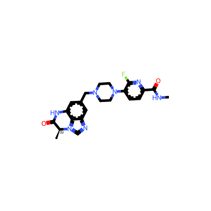 CNC(=O)c1ccc(N2CCN(Cc3cc4c5c(c3)ncn5[C@@H](C)C(=O)N4)CC2)c(F)n1